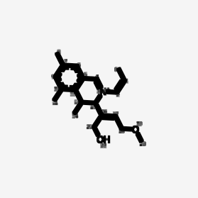 C/C=C\[N+]1=Cc2cc(C)cc(C)c2C(C)C1/C(=C/COC)CO